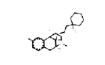 CN1CC[C@]2(C)c3cc(O)ccc3C[C@@H]1[C@H]2NCCC1(O)CCCCC1